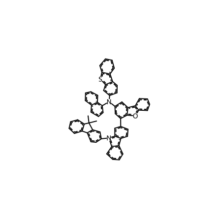 CC1(C)c2ccccc2-c2ccc(-n3c4ccccc4c4ccc(-c5cc(N(c6ccc7c(c6)sc6ccccc67)c6cccc7ccccc67)cc6c5oc5ccccc56)cc43)cc21